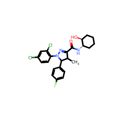 CC1C(C(=O)N[C@H]2CCCC[C@@H]2O)=NN(c2ccc(Cl)cc2Cl)C1c1ccc(F)cc1